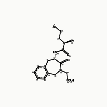 CC(=O)SC[C@H](C(=O)N[C@H]1Cc2ccccc2CN(CC(=O)O)C1=O)C(C)C